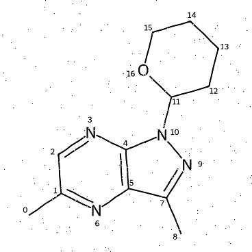 Cc1cnc2c(n1)c(C)nn2C1CCCCO1